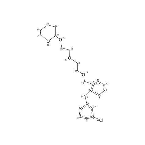 Clc1[c]ccc(Nc2ccccc2COCCOCCOC2CCCCO2)c1